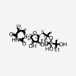 CCC(C)(O)P(=O)(O)O[C@](C)(CC)C[C@H]1O[C@@H](n2cc(I)c(=O)[nH]c2=O)[C@H](O)[C@@H]1O